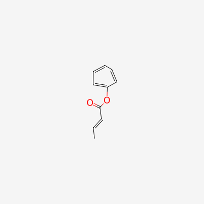 C/C=C/C(=O)Oc1ccccc1